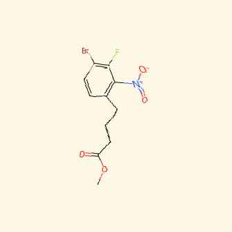 COC(=O)CCCc1ccc(Br)c(F)c1[N+](=O)[O-]